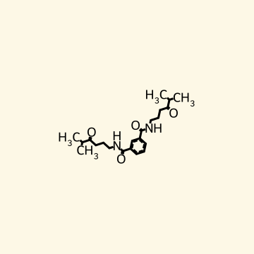 CC(C)C(=O)CCCNC(=O)c1cccc(C(=O)NCCCC(=O)C(C)C)c1